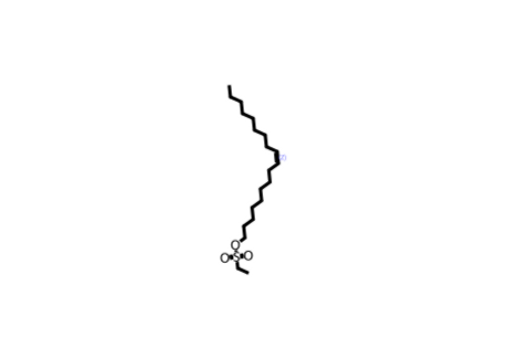 CCCCCCCC/C=C\CCCCCCCCOS(=O)(=O)CC